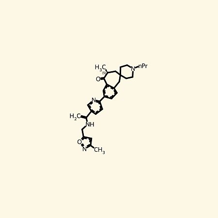 C=C(NCc1cc(C)no1)c1ccc(-c2ccc3c(c2)C(=O)[C@@H](C)CC2(CCN(CCC)CC2)C3)nc1